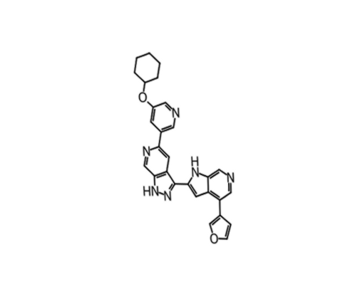 c1cc(-c2cncc3[nH]c(-c4n[nH]c5cnc(-c6cncc(OC7CCCCC7)c6)cc45)cc23)co1